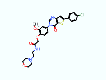 COc1cc(-n2cnc3cc(-c4ccc(Cl)cc4)sc3c2=O)ccc1OCC(=O)NCCN1CCOCC1